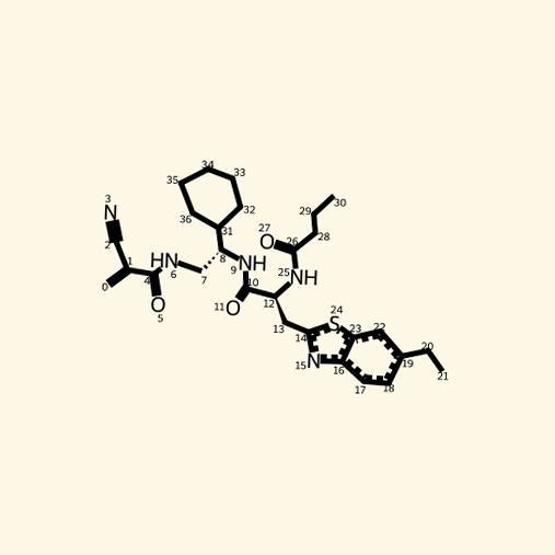 C=C(C#N)C(=O)NC[C@@H](NC(=O)[C@H](Cc1nc2ccc(CC)cc2s1)NC(=O)CCC)C1CCCCC1